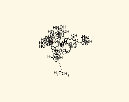 CC(=O)N[C@H]1[C@H](O[C@@H]2c3ccc(c(Cl)c3)Oc3cc4cc(c3O[C@@H]3O[C@H](CO)[C@@H](O)[C@H](O)[C@H]3NC(=O)CCCCCCCC(C)C)Oc3ccc(cc3Cl)C[C@H]3NC(=O)[C@H](NC(=O)CCC(=O)NC(P(=O)(O)O)P(=O)(O)O)c5ccc(O)c(c5)Oc5cc(O)cc(c5)[C@H](NC3=O)C(=O)N[C@H]4C(=O)N[C@H]3C(=O)N[C@@H]2C(=O)N[C@@H](C(=O)O)c2cc(O)cc(O[C@H]4O[C@H](CO)[C@@H](O)[C@H](O)[C@@H]4O)c2-c2cc3ccc2O)O[C@H](CO)[C@@H](O)[C@@H]1O